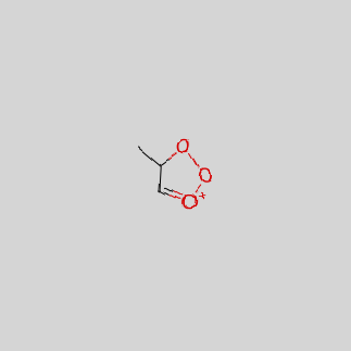 CC1C=[O+]OO1